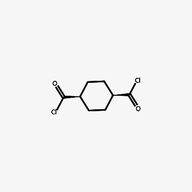 O=C(Cl)[C@H]1CC[C@@H](C(=O)Cl)CC1